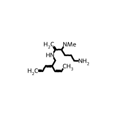 C=C/C=C(\C=C/C)CNC(=C)C(CCCN)NC